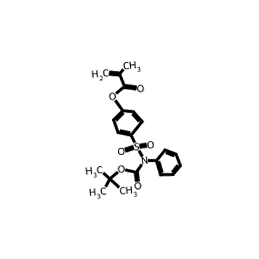 C=C(C)C(=O)Oc1ccc(S(=O)(=O)N(C(=O)OC(C)(C)C)c2ccccc2)cc1